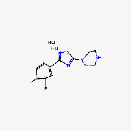 Cl.Cl.Fc1ccc(-c2nsc(N3CCNCC3)n2)cc1F